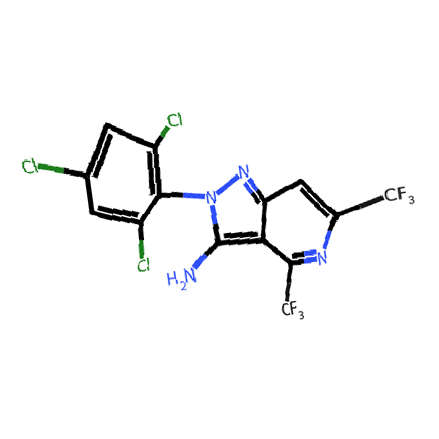 Nc1c2c(C(F)(F)F)nc(C(F)(F)F)cc2nn1-c1c(Cl)cc(Cl)cc1Cl